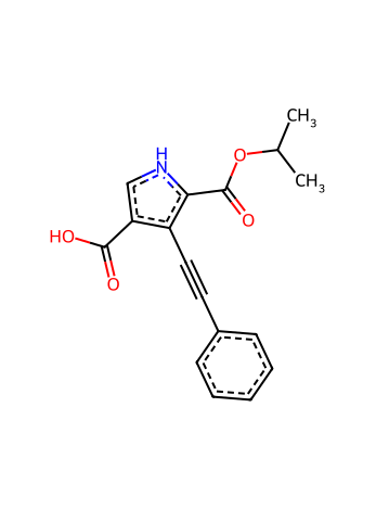 CC(C)OC(=O)c1[nH]cc(C(=O)O)c1C#Cc1ccccc1